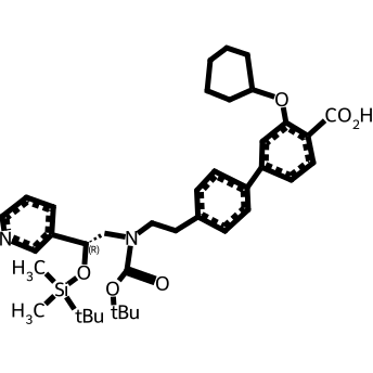 CC(C)(C)OC(=O)N(CCc1ccc(-c2ccc(C(=O)O)c(OC3CCCCC3)c2)cc1)C[C@H](O[Si](C)(C)C(C)(C)C)c1cccnc1